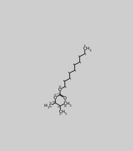 CCCCCCCCCCOC(=O)OC(C)C(C)C